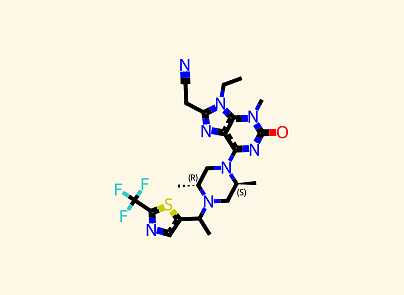 CCn1c(CC#N)nc2c(N3C[C@@H](C)N(C(C)c4cnc(C(F)(F)F)s4)C[C@@H]3C)nc(=O)n(C)c21